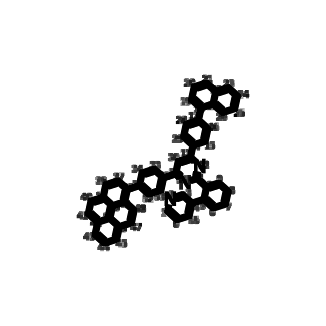 c1cncc(-c2ccccc2-c2nc(-c3ccc(-c4cccc5ccccc45)cc3)cc(-c3ccc(-c4ccc5ccc6cccc7ccc4c5c67)cc3)n2)c1